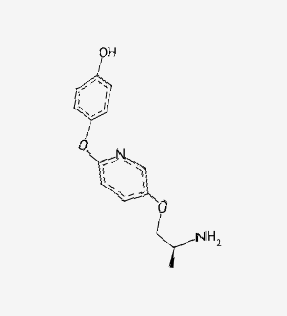 C[C@H](N)COc1ccc(Oc2ccc(O)cc2)nc1